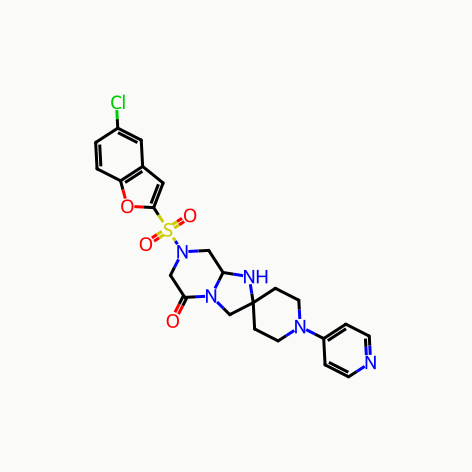 O=C1CN(S(=O)(=O)c2cc3cc(Cl)ccc3o2)CC2NC3(CCN(c4ccncc4)CC3)CN12